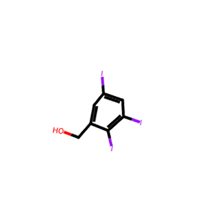 OCc1cc(I)cc(I)c1I